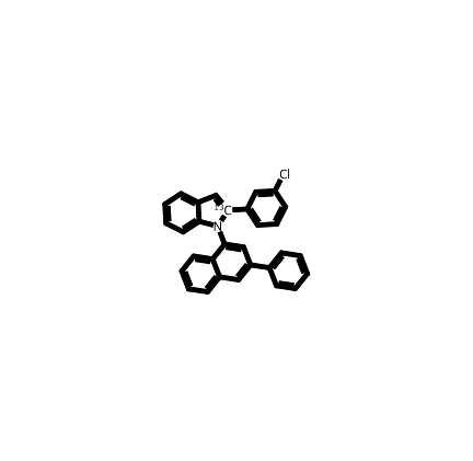 Clc1cccc(-[13c]2cc3ccccc3n2-c2cc(-c3ccccc3)cc3ccccc23)c1